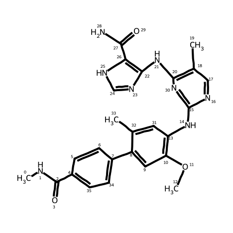 CNC(=O)c1ccc(-c2cc(OC)c(Nc3ncc(C)c(Nc4nc[nH]c4C(N)=O)n3)cc2C)cc1